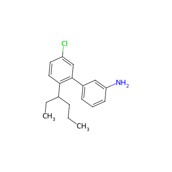 CCCC(CC)c1ccc(Cl)cc1-c1cccc(N)c1